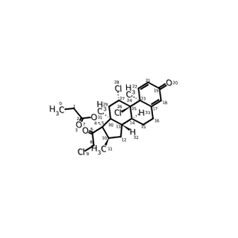 CCC(=O)O[C@@]1(C(=O)CCl)[C@H](C)C[C@H]2[C@@H]3CCC4=CC(=O)C=C[C@]4(C)[C@@]3(Cl)[C@@H](Cl)C[C@@]21C